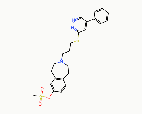 CS(=O)(=O)Oc1ccc2c(c1)CCN(CCCSc1cc(-c3ccccc3)cnn1)CC2